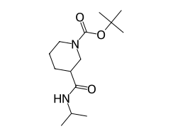 CC(C)NC(=O)C1CCCN(C(=O)OC(C)(C)C)C1